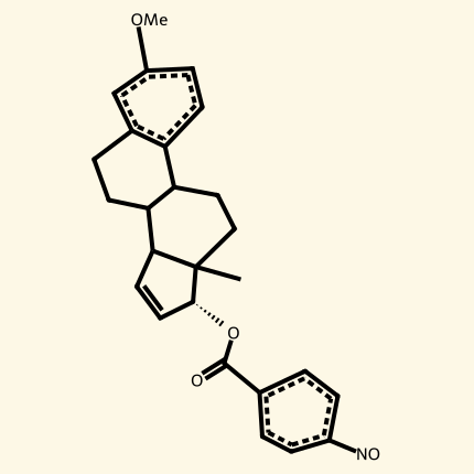 COc1ccc2c(c1)CCC1C2CCC2(C)C1C=C[C@H]2OC(=O)c1ccc(N=O)cc1